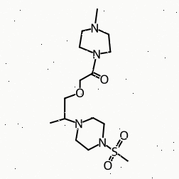 CC(COCC(=O)N1CCN(C)CC1)N1CCN(S(C)(=O)=O)CC1